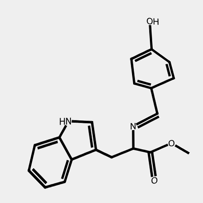 COC(=O)C(Cc1c[nH]c2ccccc12)/N=C/c1ccc(O)cc1